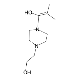 CC(C)=C(O)N1CCN(CCO)CC1